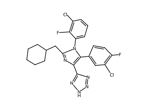 Fc1ccc(-c2c(-c3nn[nH]n3)nc(CC3CCCCC3)n2-c2cccc(Cl)c2F)cc1Cl